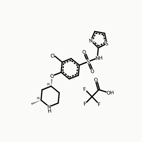 C[C@@H]1C[C@H](Oc2ccc(S(=O)(=O)Nc3nccs3)cc2Cl)CCN1.O=C(O)C(F)(F)F